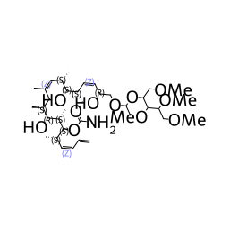 C=C/C=C\[C@H](C)[C@H](OC(N)=O)[C@@H](C)[C@H](O)[C@@H](C)C/C(C)=C\[C@H](C)[C@@H](O)[C@@H](C)/C=C\[C@@H](O)COC(C)OC(COC)C(OC)C(COC)OC